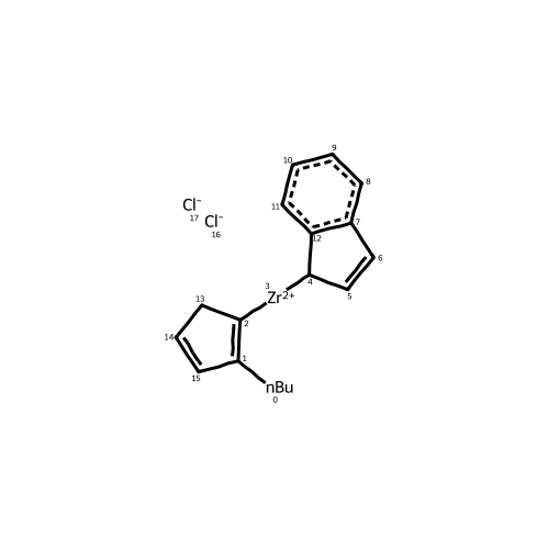 CCCCC1=[C]([Zr+2][CH]2C=Cc3ccccc32)CC=C1.[Cl-].[Cl-]